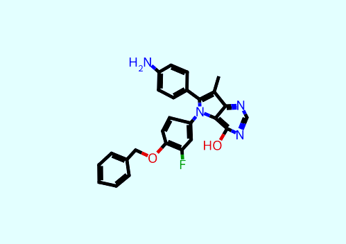 Cc1c(-c2ccc(N)cc2)n(-c2ccc(OCc3ccccc3)c(F)c2)c2c(O)ncnc12